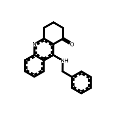 O=C1CCCc2nc3ccccc3c(NCc3ccccc3)c21